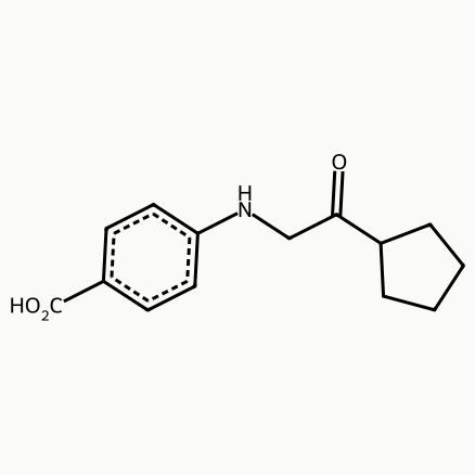 O=C(O)c1ccc(NCC(=O)C2CCCC2)cc1